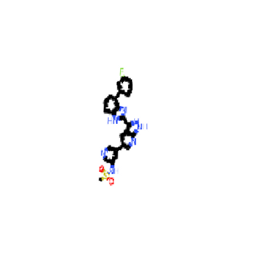 CS(=O)(=O)Nc1cncc(-c2cnc3[nH]nc(-c4nc5c(-c6cccc(F)c6)cccc5[nH]4)c3c2)c1